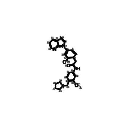 O=C(Cc1ccc(-n2cnc3cccnc32)cc1Cl)Nc1ccc(CN2CCCC2)c(C(F)(F)F)c1